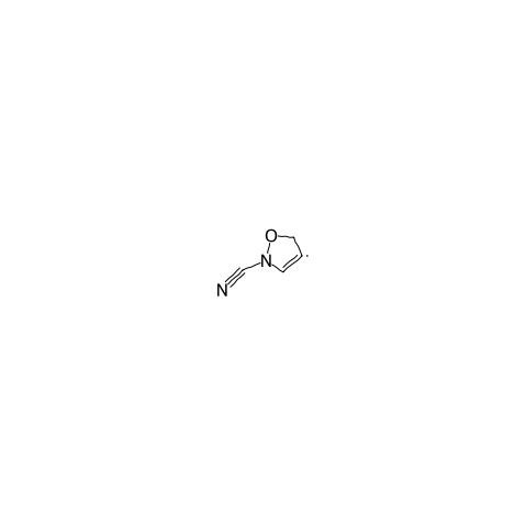 N#CN1C=[C]CO1